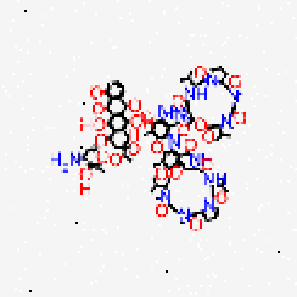 COc1cccc2c1C(=O)c1c(O)c3c(c(O)c1C2=O)C[C@@](O)(C(C)=O)C[C@@H]3O[C@H]1C[C@H](N)[C@H](O)[C@H](C)O1.Cc1c2oc3c(C)ccc(C(=O)NC4C(=O)NC(C(C)C)C(=O)N5CCCC5C(=O)N(C)CC(=O)N(C)C(C(C)C)C(=O)OC4C)c3nc-2c(C(=O)NC2C(=O)NC(C(C)C)C(=O)N3CCCC3C(=O)N(C)CC(=O)N(C)C(C(C)C)C(=O)OC2C)c(N)c1=O